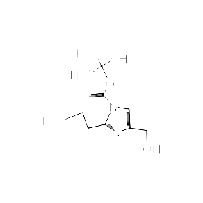 CCCc1nc(CO)cn1C(=O)OC(C)(C)C